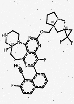 C#Cc1c(F)ccc2cccc(-c3nc4c5c(nc(OC[C@@]67CCCN6C[C@@]6(CC6(F)F)C7)nc5c3F)N3CCNC[C@H]3CC4)c12